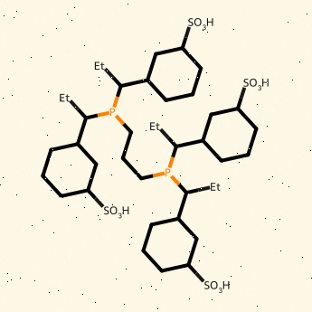 CCC(C1CCCC(S(=O)(=O)O)C1)P(CCCP(C(CC)C1CCCC(S(=O)(=O)O)C1)C(CC)C1CCCC(S(=O)(=O)O)C1)C(CC)C1CCCC(S(=O)(=O)O)C1